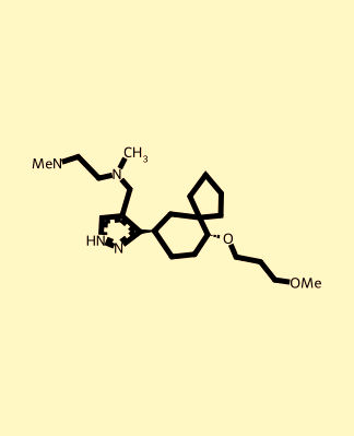 CNCCN(C)Cc1c[nH]nc1[C@@H]1CC[C@@H](OCCCOC)C2(CCCC2)C1